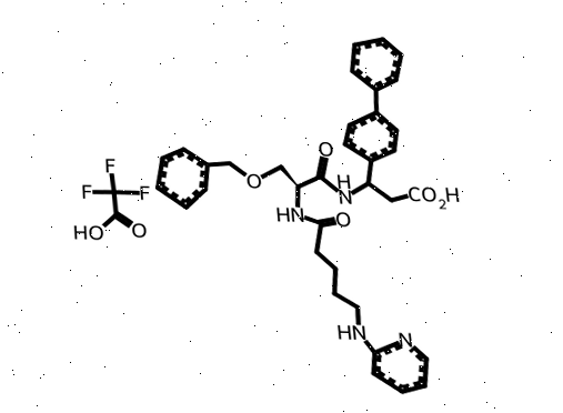 O=C(O)C(F)(F)F.O=C(O)CC(NC(=O)[C@H](COCc1ccccc1)NC(=O)CCCCNc1ccccn1)c1ccc(-c2ccccc2)cc1